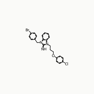 N=c1n(CCCOc2ccc(Cl)cc2)c2ccccc2n1Cc1ccc(Br)cc1